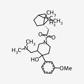 COc1cccc(C2(O)CCN(S(=O)(=O)C[C@@]34CCC(CC3C)C4(C)C)CC2CN(C)C)c1